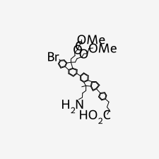 COCCOCCCC1(CCCOCCOC)c2cc(Br)ccc2-c2ccc(-c3ccc4c(c3)C(C)(CCCCN)c3cc(-c5ccc(CCCC(=O)O)cc5)ccc3-4)cc21